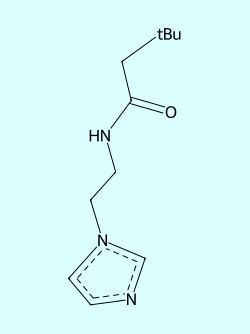 CC(C)(C)CC(=O)NCCn1ccnc1